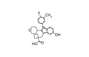 Cc1cc(-n2c(C3CCOCC3)c(CC3(C(=O)O)CCC3)c3cc(O)ccc32)ccc1F